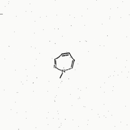 CN1C=CC=CC=N1